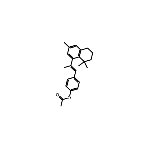 CC(=O)Oc1ccc(C=C(C)c2cc(C)cc3c2C(C)(C)CCC3)cc1